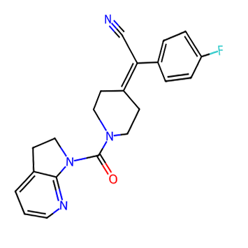 N#CC(=C1CCN(C(=O)N2CCc3cccnc32)CC1)c1ccc(F)cc1